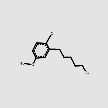 CCOc1ccc(Cl)c(CCCCCC(C)=O)c1